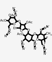 CCC1OC(OC2C(OC(C)=O)C(N=[N+]=[N-])CC(N=[N+]=[N-])C2OC2OC(CN=[N+]=[N-])C(F)(F)C(C)C2N=[N+]=[N-])C(OC(C)=O)C1OC1OC(CN=[N+]=[N-])C(OC(C)=O)C(OC(C)=O)C1N=[N+]=[N-]